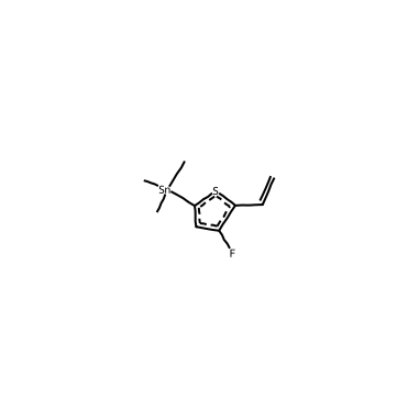 C=Cc1s[c]([Sn]([CH3])([CH3])[CH3])cc1F